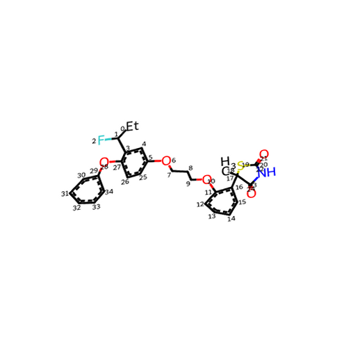 CCC(F)c1cc(OCCCOc2ccccc2C2(C)SC(=O)NC2=O)ccc1Oc1ccccc1